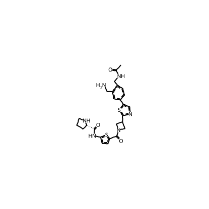 CC(=O)NCc1ccc(-c2cnc(C3CN(C(=O)c4ccc(NC(=O)[C@@H]5CCCN5)s4)C3)s2)cc1CN